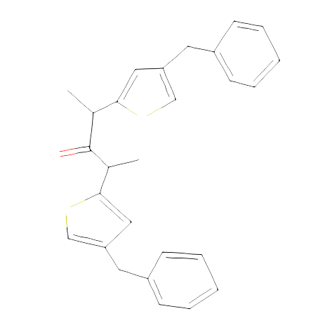 CC(C(=O)C(C)c1cc(Cc2ccccc2)cs1)c1cc(Cc2ccccc2)cs1